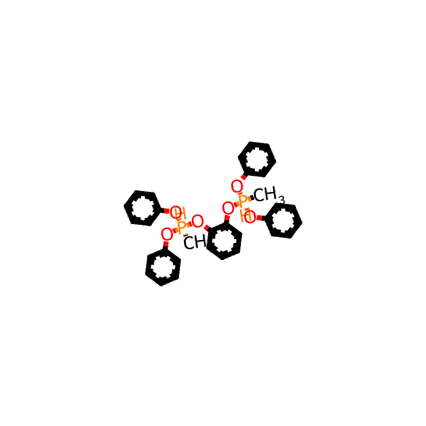 C[PH](Oc1ccccc1)(Oc1ccccc1)Oc1ccccc1O[PH](C)(Oc1ccccc1)Oc1ccccc1